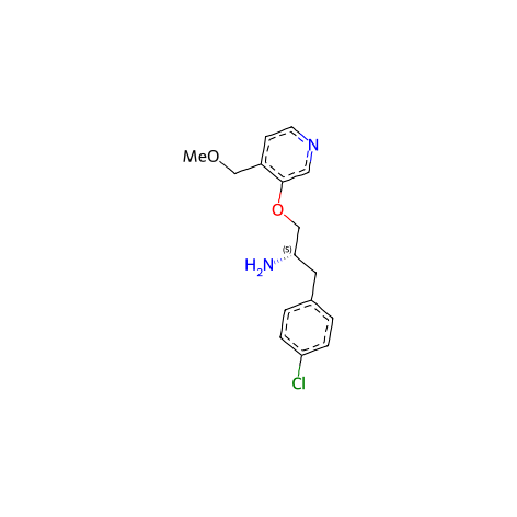 COCc1ccncc1OC[C@@H](N)Cc1ccc(Cl)cc1